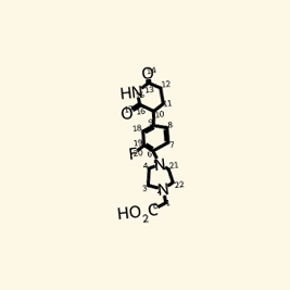 O=C(O)CN1CCN(c2ccc(C3CCC(=O)NC3=O)cc2F)CC1